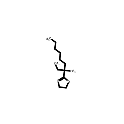 CCCCCCC(C)(CC)C1=NCCO1